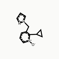 [O-][n+]1cccc(Cn2cccn2)c1C1CC1